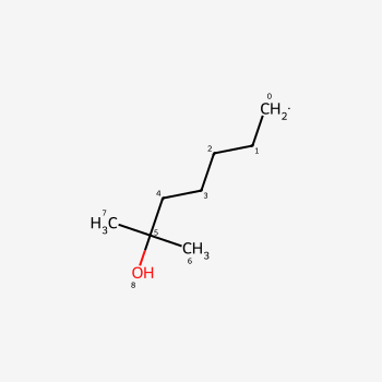 [CH2]CCCCC(C)(C)O